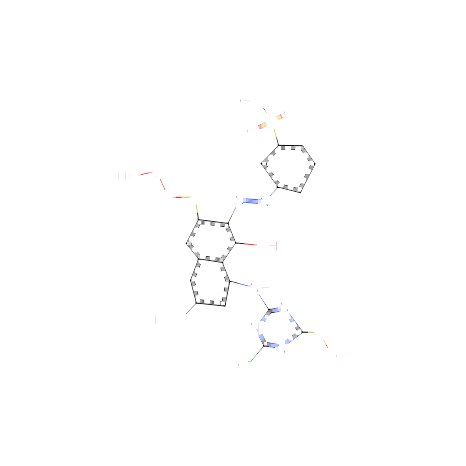 O=CS(=O)(=O)c1cccc(N=Nc2c(SOOO)cc3cc(S(=O)(=O)O)cc(Nc4nc(Cl)nc(SO)n4)c3c2O)c1